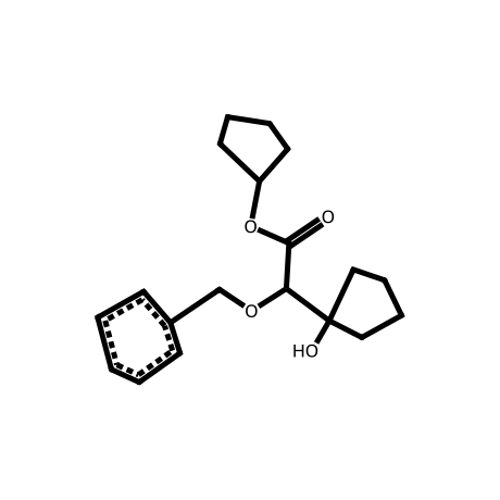 O=C(OC1CCCC1)C(OCc1ccccc1)C1(O)CCCC1